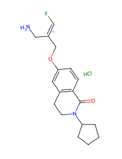 Cl.NC/C(=C\F)COc1ccc2c(c1)CCN(C1CCCC1)C2=O